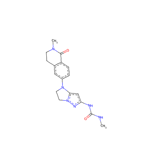 CNC(=O)Nc1cc2n(n1)CCN2c1ccc2c(c1)CCN(C)C2=O